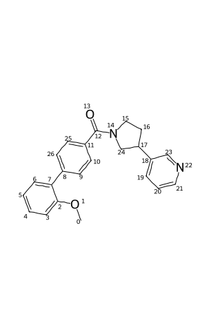 COc1ccccc1-c1ccc(C(=O)N2CCC(c3cccnc3)C2)cc1